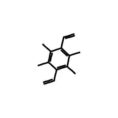 C=Cc1c(C)c(C)c(C=C)c(C)c1C